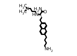 CN(C)CCCN[C@@H](CCc1ccc2cc(CCCCN)ccc2c1)C(N)=O